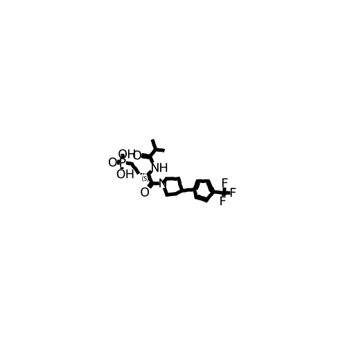 CC(C)C(=O)N[C@@H](CCP(=O)(O)O)C(=O)N1CCC(c2ccc(C(F)(F)F)cc2)CC1